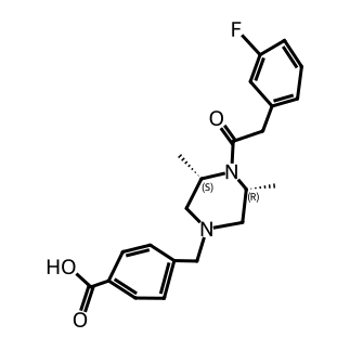 C[C@@H]1CN(Cc2ccc(C(=O)O)cc2)C[C@H](C)N1C(=O)Cc1cccc(F)c1